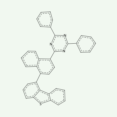 c1ccc(-c2nc(-c3ccccc3)nc(-c3ccc(-c4cccc5sc6ccccc6c45)c4ccccc34)n2)cc1